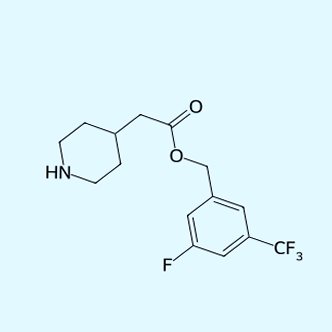 O=C(CC1CCNCC1)OCc1cc(F)cc(C(F)(F)F)c1